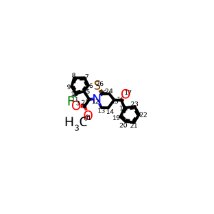 COC(=O)C(c1ccccc1F)N1CCC(C(=O)c2ccccc2)CC1=S